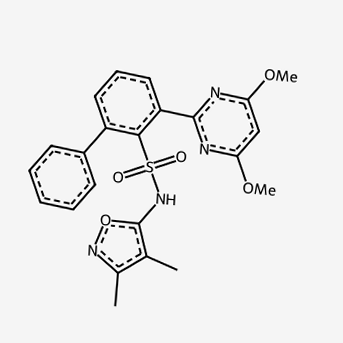 COc1cc(OC)nc(-c2cccc(-c3ccccc3)c2S(=O)(=O)Nc2onc(C)c2C)n1